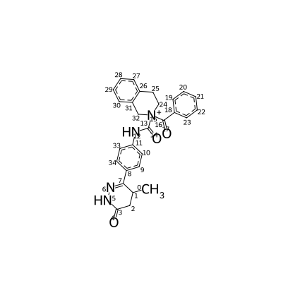 CC1CC(=O)NN=C1c1ccc(NC(=O)[N+]2(C(=O)c3ccccc3)CCc3ccccc3C2)cc1